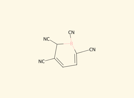 N#CB1C(C#N)=CC=C(C#N)C1C#N